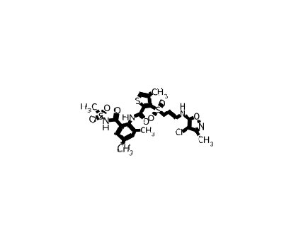 Cc1cc(C)c(NC(=O)c2scc(C)c2S(=O)(=O)CC=CNc2onc(C)c2Cl)c(C(=O)NS(C)(=O)=O)c1